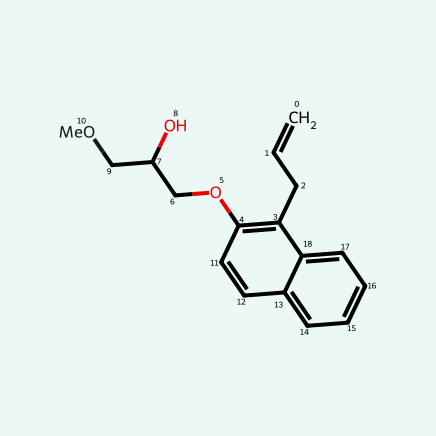 C=CCc1c(OCC(O)COC)ccc2ccccc12